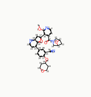 COc1nccc(C(=O)N2CC3CC(C2)O3)c1-c1cc2nccc(-c3ccc(OC4CCOCC4)c(C#N)c3)c2o1